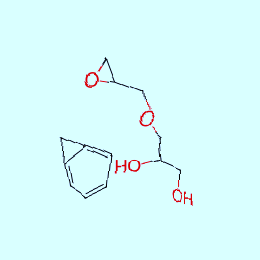 OCC(O)COCC1CO1.c1ccc2c(c1)C2